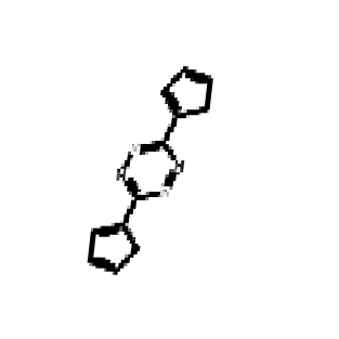 C1=CCC(c2nnc(C3=CC=CC3)nn2)=C1